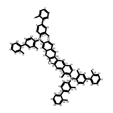 Cc1ccccc1-c1ccc(N(C2=CC3Cc4oc5cc6c(C)c(N(c7ccc(-c8ccccc8C)cc7C)c7ccc(-c8ccccc8C)cc7C)ccc6cc5c4C=C3C=C2)c2ccc(-c3ccccc3C)cc2C)c(C)c1